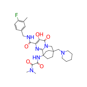 Cc1cc(CNC(=O)c2nc3n(c(=O)c2O)CC2(CN4CCCCC4)CCC3(NC(=O)C(=O)N(C)C)CC2)ccc1F